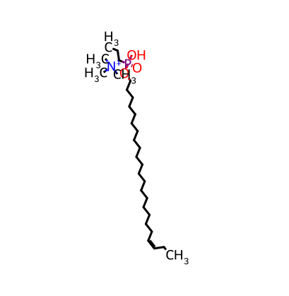 CC/C=C\CCCCCCCCCCCCCCCCCCCOP(=O)(O)C(CC)[N+](C)(C)C